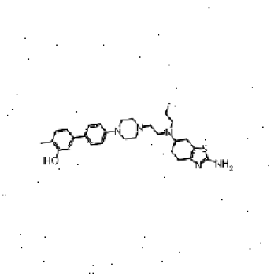 CCCN(CCN1CCN(c2ccc(-c3ccc(C)c(O)c3)cc2)CC1)C1CCc2nc(N)sc2C1